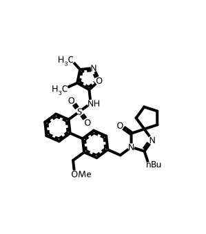 CCCCC1=NC2(CCCC2)C(=O)N1Cc1ccc(-c2ccccc2S(=O)(=O)Nc2onc(C)c2C)c(COC)c1